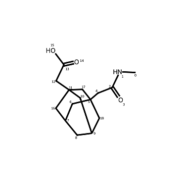 CNC(=O)CC12CC3CC(CC(CC(=O)O)(C3)C1)C2